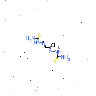 CC(/C=N/NC(N)=S)=N\NC(N)=S